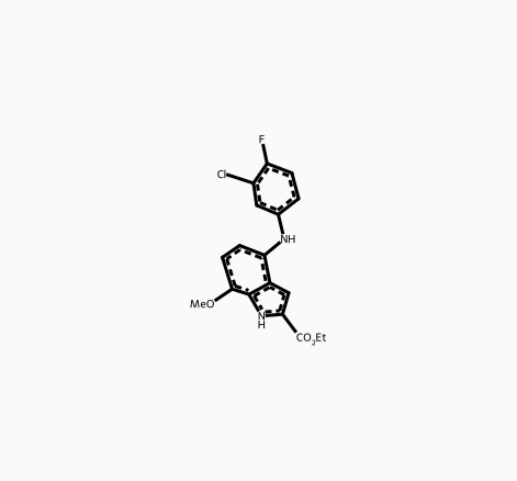 CCOC(=O)c1cc2c(Nc3ccc(F)c(Cl)c3)ccc(OC)c2[nH]1